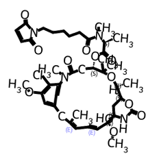 COc1cc2cc(c1Cl)N(C)C(=O)C[C@H](OC(=O)[C@H](C)N(C)C(=O)CCCCCN1C(=O)C=CC1=O)C(C)(C)O[C@H](C)[C@@H]1C[C@@](O)(NC(=O)O1)[C@H](OC)/C=C/C=C(\C)C2